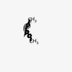 CCCC1CC=C(c2ccc(OC(F)(F)C3OCC(F)(CCC)CO3)cc2F)CC1